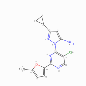 Nc1cc(C2CC2)nn1-c1nc(-c2ccc([N+](=O)[O-])o2)ncc1Cl